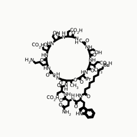 CCC(C)CCCCCCCCC(=O)NC(Cc1c[nH]c2ccccc12)C(=O)NC(CC(N)=O)C(=O)NC(CC(=O)O)C(=O)NC1C(=O)NCC(=O)NC(CCCN)C(=O)NC(CC(=O)O)C(=O)NC(CO)C(=O)NC(CC(=O)O)C(=O)NCC(=O)NC(CO)C(=O)NC(C(C)CC(=O)O)C(=O)NC(C(C)C)C(=O)OC1C